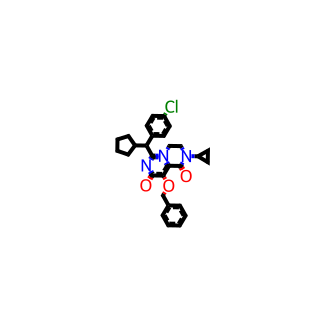 O=C1c2c(OCc3ccccc3)c(=O)nc(C(c3ccc(Cl)cc3)C3CCCC3)n2CCN1C1CC1